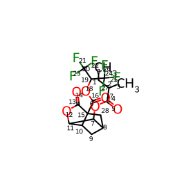 CCC(C)C(=O)OC1C2CC3C1OC(=O)C3(C(=O)OC(C(F)(F)F)C(F)(F)F)C2